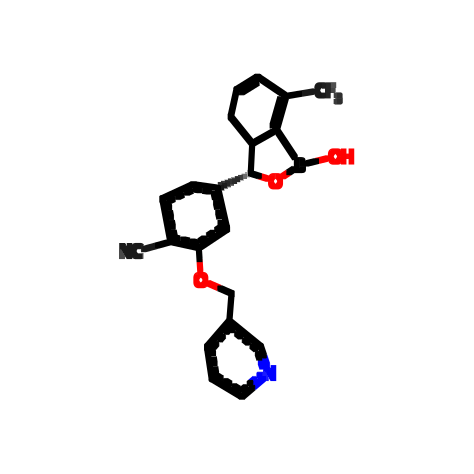 N#Cc1ccc([C@H]2OB(O)C3=C(C(F)(F)F)C=CCC32)cc1OCc1cccnc1